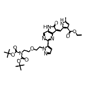 CCOC(=O)c1cc(C)[nH]c1/C=C1\C(=O)Nc2cnc(-c3ccnn3CCOCCN(C(=O)OC(C)(C)C)C(=O)OC(C)(C)C)nc21